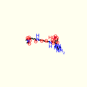 CC(=O)N(OC(=O)CCCC(=O)NCCOCCOCCNC(=O)OC1C2OP(=O)(O)OCC2OC1n1cnc2c(N)ncnc21)C(C)=O